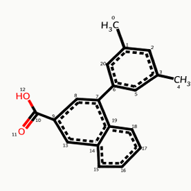 Cc1cc(C)cc(-c2cc(C(=O)O)cc3ccccc23)c1